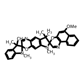 COc1cc2c(c3ccccc13)N=CC1(O2)N(C)c2cc3c(cc2C1(C)C)N=CC1(O3)N(C)c2ccccc2C1(C)C